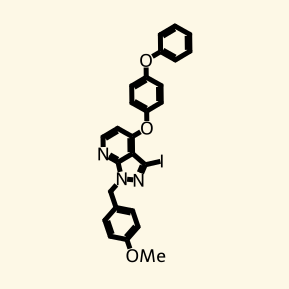 COc1ccc(Cn2nc(I)c3c(Oc4ccc(Oc5ccccc5)cc4)ccnc32)cc1